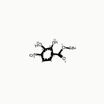 CCCCOC(=O)c1ccc([N+](=O)[O-])c(O)c1O